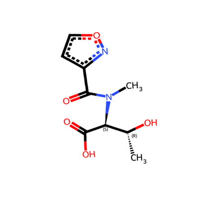 C[C@@H](O)[C@@H](C(=O)O)N(C)C(=O)c1ccon1